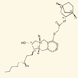 CCCCC[C@H](O)CC[C@@H]1[C@H]2Cc3cccc(OCC(=O)O[C@@H]4C[C@@H]5CC[C@H]4C5)c3C[C@H]2C[C@H]1O